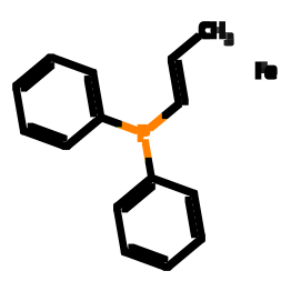 CC=CP(c1ccccc1)c1ccccc1.[Fe]